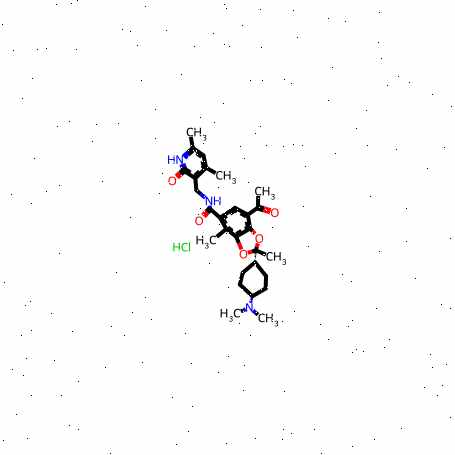 CC(=O)c1cc(C(=O)NCc2c(C)cc(C)[nH]c2=O)c(C)c2c1OC(C)([C@H]1CC[C@H](N(C)C)CC1)O2.Cl